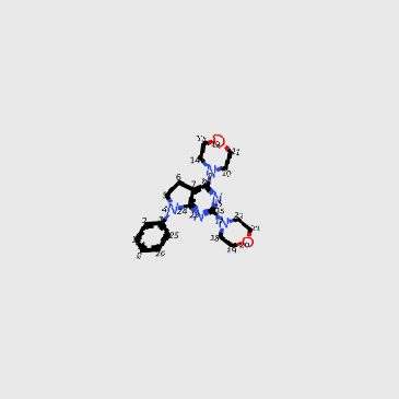 c1ccc(N2CCc3c(N4CCOCC4)nc(N4CCOCC4)nc32)cc1